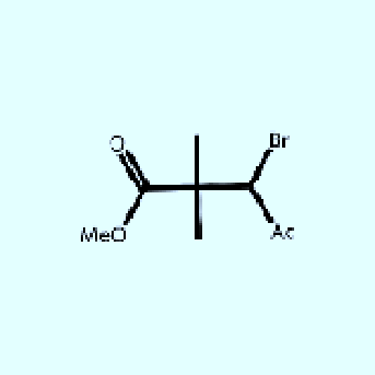 COC(=O)C(C)(C)C(Br)C(C)=O